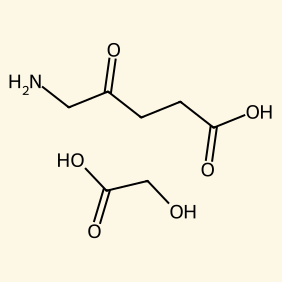 NCC(=O)CCC(=O)O.O=C(O)CO